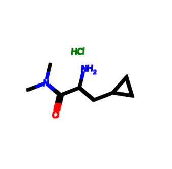 CN(C)C(=O)C(N)CC1CC1.Cl